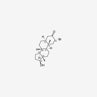 C[C@]12C[C@@H](Br)C(=O)C[C@@H]1CC[C@@H]1[C@@H]2CC[C@]2(C)[C@@H](O)CC[C@@H]12